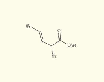 COC(=O)C(/C=C/C(C)C)C(C)C